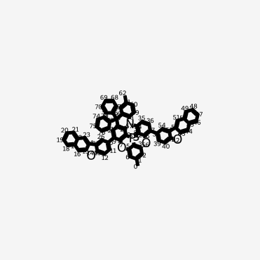 Cc1cc2c3c(c1)Oc1c(-c4ccc5oc6cc7ccccc7cc6c5c4)cc4c5c1P3(=S)c1c(ccc(-c3ccc6oc7cc8ccccc8cc7c6c3)c1O2)N5c1ccc(C)cc1C4(c1ccccc1)c1ccccc1